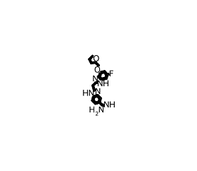 N=C(N)c1ccc2[nH]c(Cc3nc4c(OCC5CCCO5)cc(F)cc4[nH]3)nc2c1